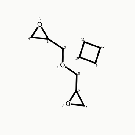 C(OCC1CO1)C1CO1.C1CCC1